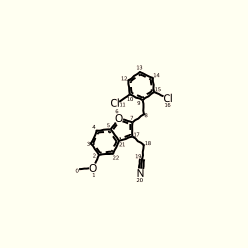 COc1ccc2oc(Cc3c(Cl)cccc3Cl)c(CC#N)c2c1